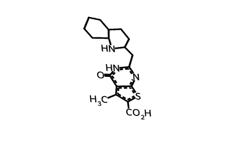 Cc1c(C(=O)O)sc2nc(CC3CCC4CCCCC4N3)[nH]c(=O)c12